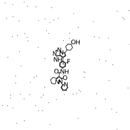 Nc1ncnn2c(C3CCC(O)CC3)cc(-c3ccc(NC(=O)c4c5n(n(-c6ccccn6)c4=O)CCCC5)cc3F)c12